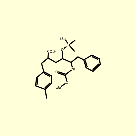 Cc1ccc(CC(CC(O[Si](C)(C)C(C)(C)C)C(Cc2ccccc2)NC(=O)OC(C)(C)C)C(=O)O)cc1